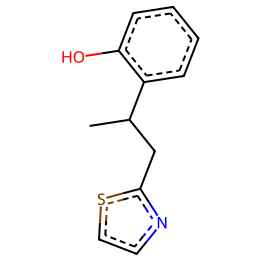 CC(Cc1nccs1)c1ccccc1O